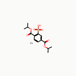 CC(C)OC(=O)c1ccc(C(=O)OC(C)C)c(S(=O)(=O)O)c1.[Cs]